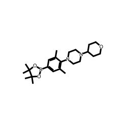 Cc1cc(B2OC(C)(C)C(C)(C)O2)cc(C)c1N1CCN(C2CCOCC2)CC1